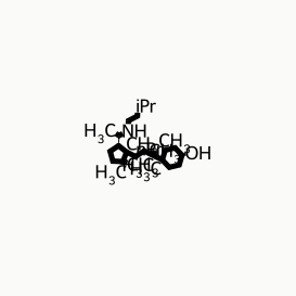 CCC[C@@]1(C)C[C@@H](O)CC[C@]1(C)C(C)(C)CC[C@]1(C)[C@@H](C(C)NCCC(C)C)CCC1(C)C